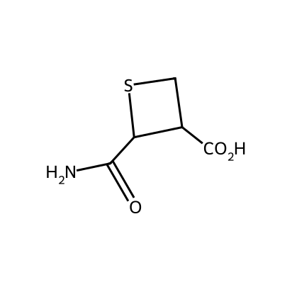 NC(=O)C1SCC1C(=O)O